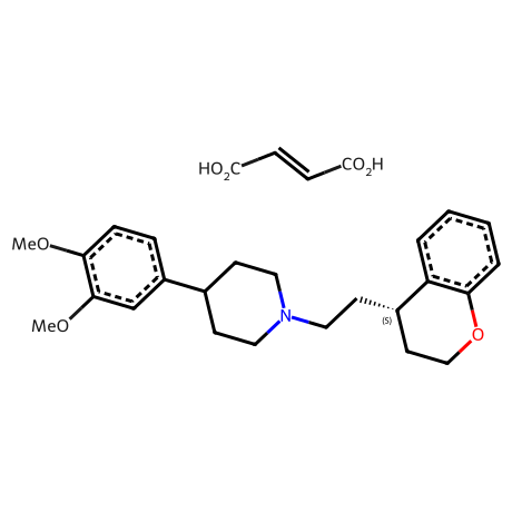 COc1ccc(C2CCN(CC[C@H]3CCOc4ccccc43)CC2)cc1OC.O=C(O)C=CC(=O)O